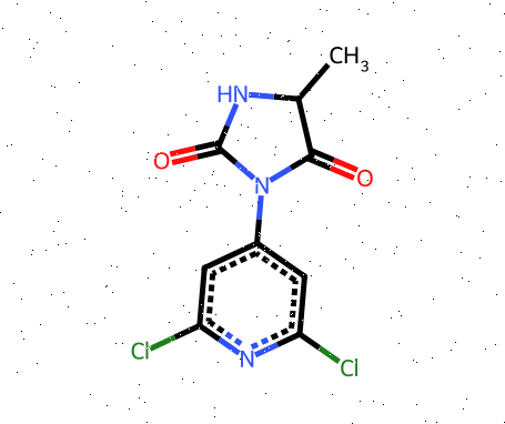 CC1NC(=O)N(c2cc(Cl)nc(Cl)c2)C1=O